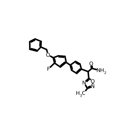 Cc1noc(C(C(N)=O)c2ccc(-c3ccc(OCc4ccccc4)c(F)c3)cc2)n1